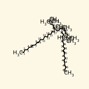 CCCCCCCC/C=C/CCCCCCCC[N+](C)(CCC[N+](C)(C)C)CC[N+](C)(CCCCCCCC/C=C/CCCCCCCC)CCC[N+](C)(C)C